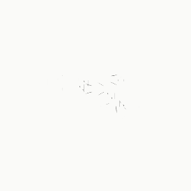 CC(C)c1nc(C(=O)Nc2cc3cn(CCC(C)(C)O)nc3cc2-c2ccoc2)cs1